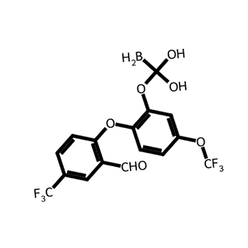 BC(O)(O)Oc1cc(OC(F)(F)F)ccc1Oc1ccc(C(F)(F)F)cc1C=O